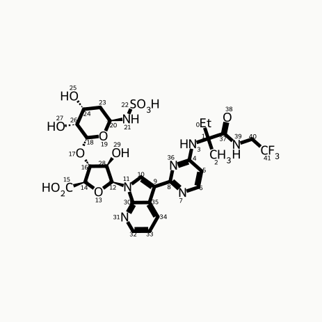 CCC(C)(Nc1ccnc(-c2cn([C@H]3O[C@@H](C(=O)O)[C@H](O[C@H]4O[C@H](NS(=O)(=O)O)C[C@@H](O)[C@H]4O)[C@H]3O)c3ncccc23)n1)C(=O)NCC(F)(F)F